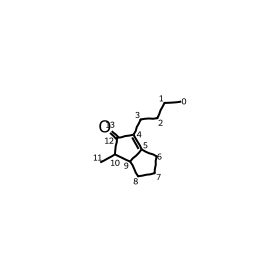 CCCCC1=C2CCCC2C(C)C1=O